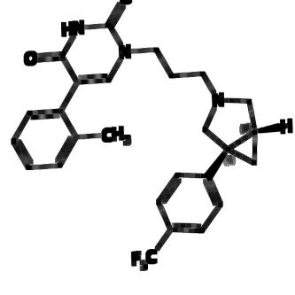 Cc1ccccc1-c1cn(CCCN2C[C@@H]3C[C@]3(c3ccc(C(F)(F)F)cc3)C2)c(=O)[nH]c1=O